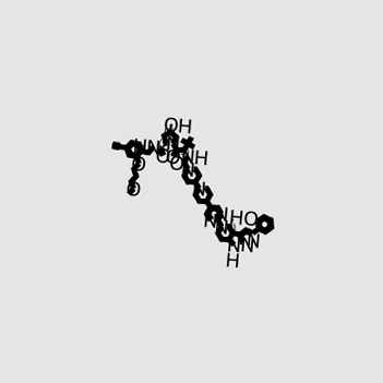 C#Cc1ccc(CNC(=O)[C@@H]2C[C@@H](O)CN2C(=O)[C@@H](NC(=O)N2CCC(N3CCC(c4cnc(N5CCC6Nc7nnc(-c8ccccc8O)cc7C6[C@H]5C)nc4)CC3)CC2)C(C)(C)C)c(OCCCOC)c1